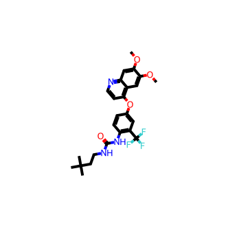 COc1cc2nccc(Oc3ccc(NC(=O)NCCC(C)(C)C)c(C(F)(F)F)c3)c2cc1OC